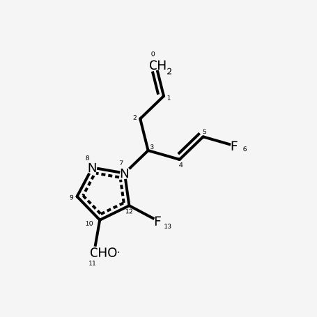 C=CCC(C=CF)n1ncc([C]=O)c1F